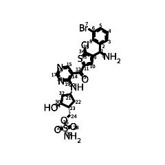 NC(c1cccc(Br)c1)c1cc(C(=O)c2cncnc2N[C@@H]2C[C@H](COS(N)(=O)=O)[C@@H](O)C2)sc1Cl